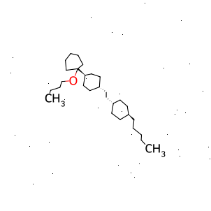 CCCCC[C@H]1CC[C@H](CC[C@H]2CC[C@H](C3(OCCCC)CCCCC3)CC2)CC1